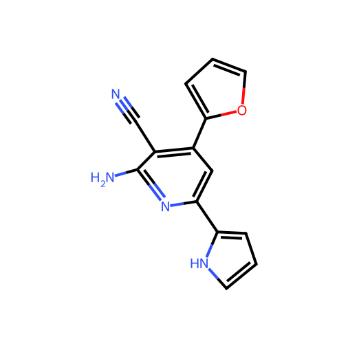 N#Cc1c(-c2ccco2)cc(-c2ccc[nH]2)nc1N